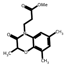 COC(=O)CCN1C(=O)C(C)Oc2c(C)cc(C)cc21